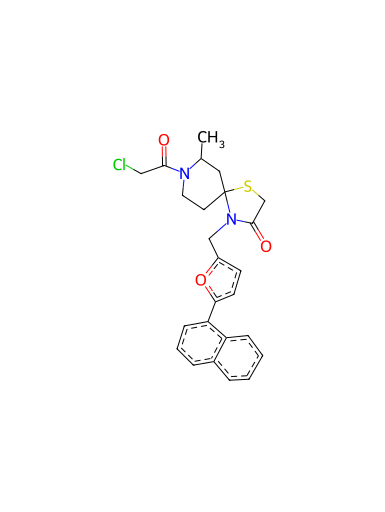 CC1CC2(CCN1C(=O)CCl)SCC(=O)N2Cc1ccc(-c2cccc3ccccc23)o1